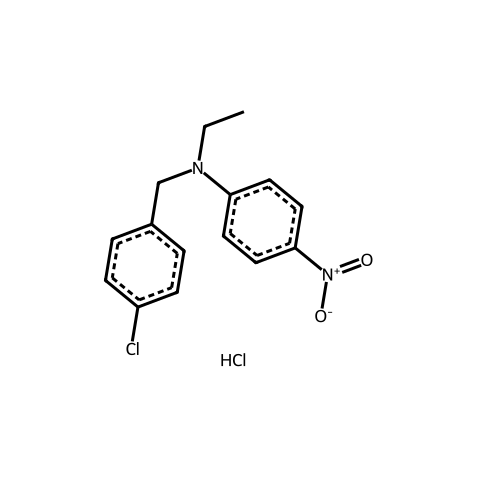 CCN(Cc1ccc(Cl)cc1)c1ccc([N+](=O)[O-])cc1.Cl